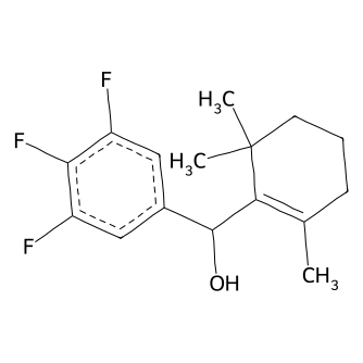 CC1=C(C(O)c2cc(F)c(F)c(F)c2)C(C)(C)CCC1